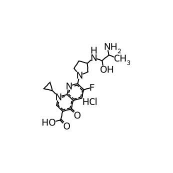 CC(N)C(O)NC1CCN(c2nc3c(cc2F)c(=O)c(C(=O)O)cn3C2CC2)C1.Cl